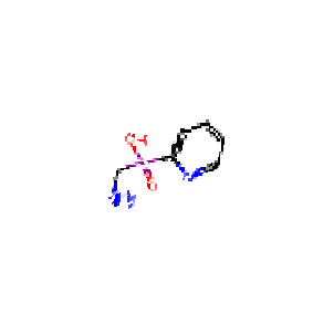 N[CH]P(=O)(O)c1ccccn1